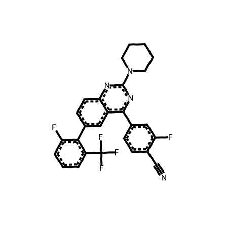 N#Cc1ccc(-c2nc(N3CCCCC3)nc3ccc(-c4c(F)cccc4C(F)(F)F)cc23)cc1F